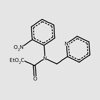 CCOC(=O)C(=O)N(Cc1ccccn1)c1ccccc1[N+](=O)[O-]